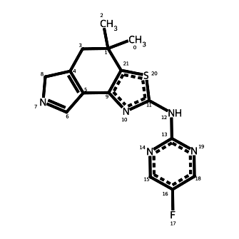 CC1(C)CC2=C(C=NC2)c2nc(Nc3ncc(F)cn3)sc21